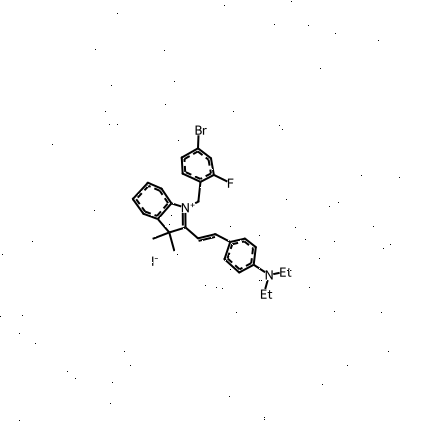 CCN(CC)c1ccc(/C=C/C2=[N+](Cc3ccc(Br)cc3F)c3ccccc3C2(C)C)cc1.[I-]